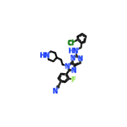 N#Cc1ccc(-c2nc3cnc(NCc4ccccc4Cl)nc3n2CCC2CCNCC2)c(F)c1